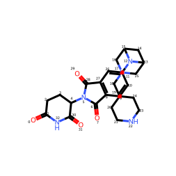 O=C1CCC(N2C(=O)c3ccc(N4C5CC4CN(CC4CCNCC4)C5)cc3C2=O)C(=O)N1